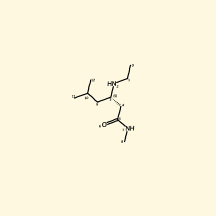 CCN[C@H](CC(=O)NC)CC(C)C